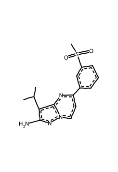 CC(C)c1c(N)nn2ccc(-c3cccc(S(C)(=O)=O)c3)nc12